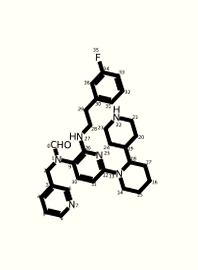 O=CN(Cc1cccnc1)c1ccc(N2CCCCC2C2CCNCC2)nc1NCCc1cccc(F)c1